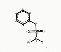 CC(C)N(C)S(=O)(=O)Cc1ccccc1